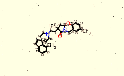 CC(C)C1(CCN2CC[C@@]3(C=Cc4ccccc43)[C@@H](C)C2)CC2Oc3ccc(C(F)(F)F)cc3CN2C1=O